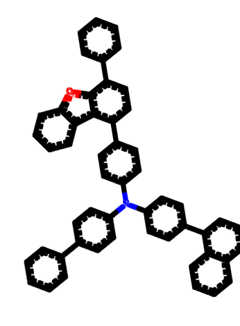 c1ccc(-c2ccc(N(c3ccc(-c4cccc5ccccc45)cc3)c3ccc(-c4ccc(-c5ccccc5)c5oc6ccccc6c45)cc3)cc2)cc1